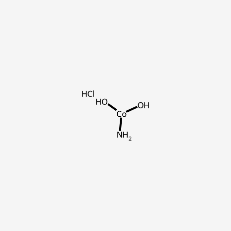 Cl.[NH2][Co]([OH])[OH]